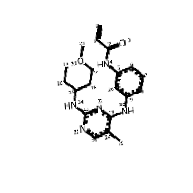 C=CC(=O)Nc1cccc(Nc2nc(NC(CC)CCOC)ncc2C)c1